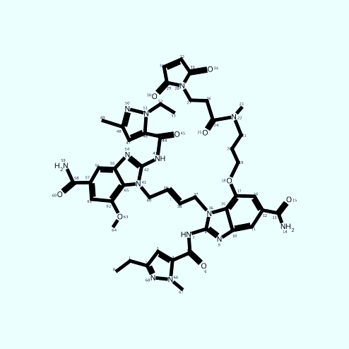 CCc1cc(C(=O)Nc2nc3cc(C(N)=O)cc(OCCCN(C)C(=O)CCN4C(=O)C=CC4=O)c3n2C/C=C/Cn2c(NC(=O)c3cc(C)nn3CC)nc3cc(C(N)=O)cc(OC)c32)n(C)n1